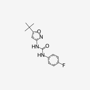 CC(C)(C)c1cc(NC(=O)Nc2ccc(F)cc2)no1